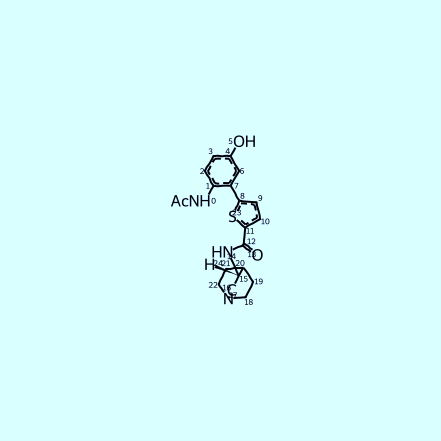 CC(=O)Nc1ccc(O)cc1-c1ccc(C(=O)N[C@H]2CN3CCC2CC3)s1